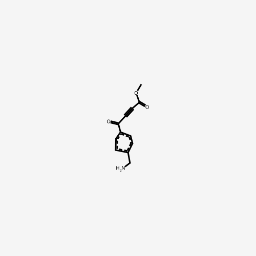 COC(=O)C#CC(=O)c1ccc(CN)cc1